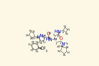 CN(CC[C@@H](CC(=O)NC1CCC1)NC(=O)c1cc(-c2ccccc2C(F)(F)F)n(C2CCCC2)n1)C1(C)CCCC1